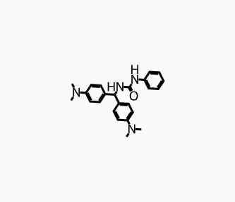 CN(C)c1ccc(C(NC(=O)Nc2ccccc2)c2ccc(N(C)C)cc2)cc1